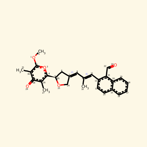 COc1oc([C@H]2C/C(=C/C(C)=C/c3ccc4ccccc4c3C=O)CO2)c(C)c(=O)c1C